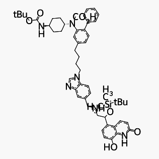 CC(C)(C)OC(=O)N[C@H]1CC[C@H](N(C(=O)O)c2cc(CCCCn3cnc4cc(CNCC(O[Si](C)(C)C(C)(C)C)c5ccc(O)c6[nH]c(=O)ccc56)ccc43)ccc2-c2ccccc2)CC1